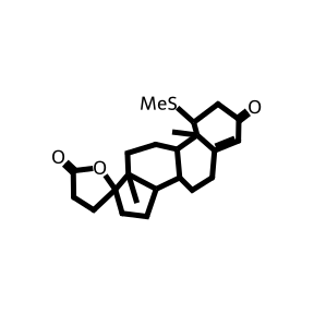 CSC1CC(=O)C=C2CCC3C(CCC4(C)C3CCC43CCC(=O)O3)C21C